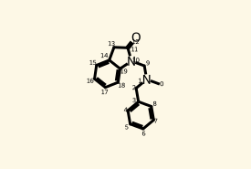 CN(Cc1ccccc1)CN1C(=O)Cc2ccccc21